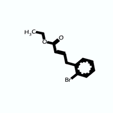 CCOC(=O)C=CCc1ccccc1Br